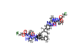 C/C(=C1\C=C/[C@H](C)CCc2ccc(cc2-c2ccc3[nH]c([C@@H]4CCCN4C(=O)[C@@H](NC(=O)OCCF)C(C)C)nc3c2)CC1)c1ccc2[nH]c([C@@H]3CCCN3C(=O)[C@@H](NC(=O)OCCF)C(C)C)nc2c1